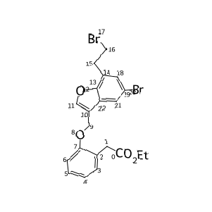 CCOC(=O)Cc1ccccc1OCc1coc2c(CCBr)cc(Br)cc12